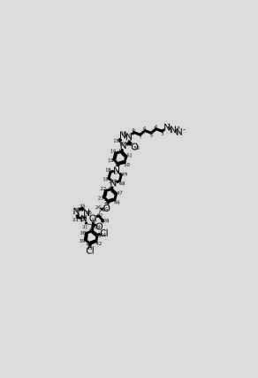 [N-]=[N+]=NCCCCCCn1ncn(-c2ccc(N3CCN(c4ccc(OC[C@@H]5CO[C@@](Cn6cncn6)(c6ccc(Cl)cc6Cl)O5)cc4)CC3)cc2)c1=O